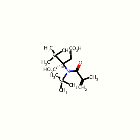 C=C(C)C(=O)N([C@@](CC(=O)O)(C(=O)O)[Si](C)(C)C)[Si](C)(C)C